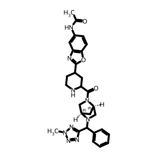 CC(=O)Nc1ccc2oc(C3CCNC(C(=O)N4C[C@H]5C[C@@H]4CN5C(c4ccccc4)c4nnn(C)n4)C3)nc2c1